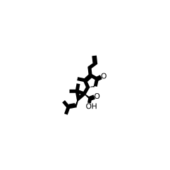 C=CCC1=C(C)[C@@H]([C@]2(C(=O)O)[C@@H](C=C(C)C)C2(C)C)CC1=O